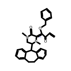 C=CC(=O)/C(OCc1ccccc1)=C1/C(=O)N(C)CC(C2c3ccccc3CCc3ccccc32)N1C